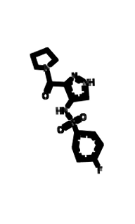 O=C(c1n[nH]cc1NS(=O)(=O)c1ccc(F)cc1)N1CCCC1